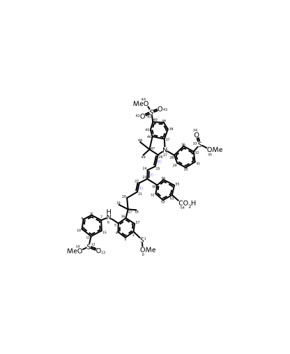 COSc1ccc(Nc2cccc(S(=O)OC)c2)c(C(C)(C)C/C=C/C(=C/C=C2/N(c3cccc(S(=O)OC)c3)c3ccc(S(=O)(=O)OC)cc3C2(C)C)c2ccc(C(=O)O)cc2)c1